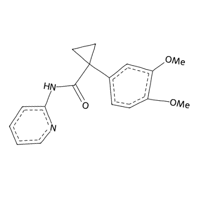 COc1ccc(C2(C(=O)Nc3ccccn3)CC2)cc1OC